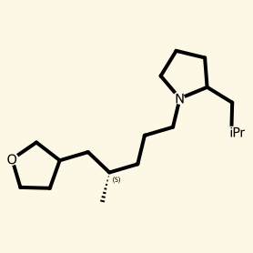 CC(C)CC1CCCN1CCC[C@H](C)CC1CCOC1